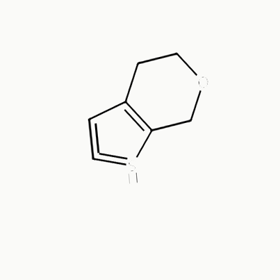 C1=CC2=C(COCC2)[SH]=1